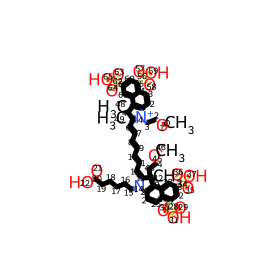 COCC[N+]1=C(/C=C/C=C/C=C/C=C2/N(CCCCCC(=O)O)c3ccc4c(S(=O)(=O)O)cc(S(=O)(=O)O)cc4c3C2(C)CCOC)C(C)(C)c2c1ccc1c(S(=O)(=O)O)cc(S(=O)(=O)O)cc21